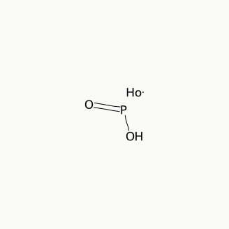 O=PO.[Ho]